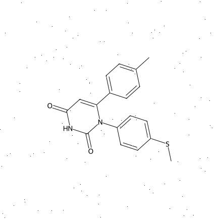 CSc1ccc(-n2c(-c3ccc(C)cc3)cc(=O)[nH]c2=O)cc1